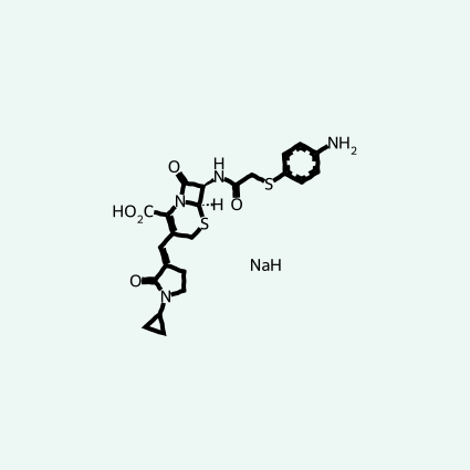 Nc1ccc(SCC(=O)N[C@@H]2C(=O)N3C(C(=O)O)=C(/C=C4\CCN(C5CC5)C4=O)CS[C@H]23)cc1.[NaH]